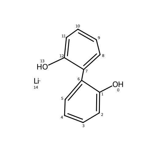 Oc1ccccc1-c1ccccc1O.[Li]